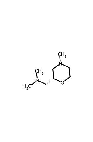 CN(C)C[C@@H]1CN(C)CCO1